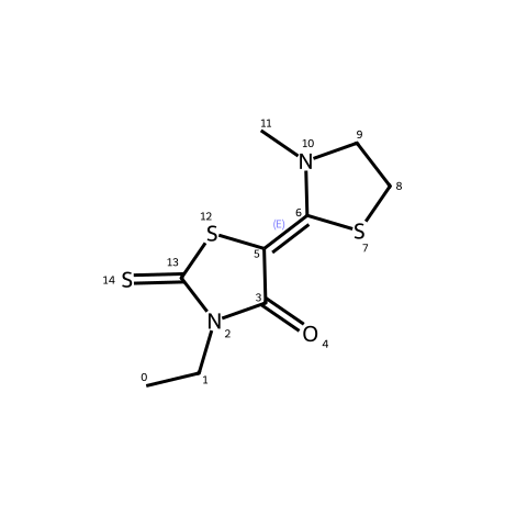 CCN1C(=O)/C(=C2\SCCN2C)SC1=S